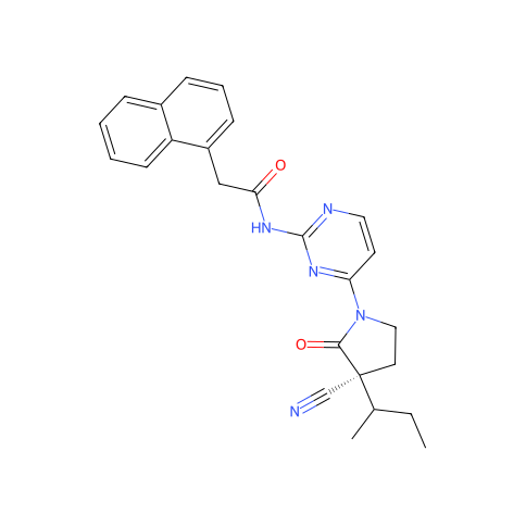 CCC(C)[C@]1(C#N)CCN(c2ccnc(NC(=O)Cc3cccc4ccccc34)n2)C1=O